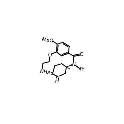 COc1ccc(C(=O)N(C(C)C)[C@@H]2CCCNC2)cc1OCCNC(C)=O